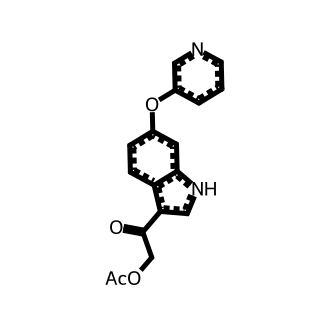 CC(=O)OCC(=O)c1c[nH]c2cc(Oc3cccnc3)ccc12